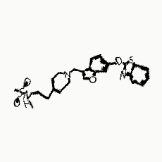 CS(=O)(=O)NCCC1CCN(Cc2coc3cc(Oc4nc5ccccc5s4)ccc23)CC1